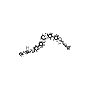 c1cc(Oc2ccc(-c3ccc(OCCNOCC4CO4)cc3)cc2)nc(Oc2ccc(-c3ccc(OCCNOCC4CO4)cc3)cc2)c1